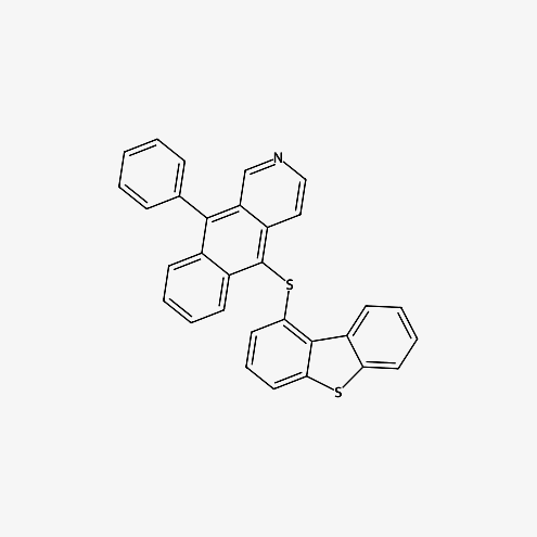 c1ccc(-c2c3ccccc3c(Sc3cccc4sc5ccccc5c34)c3ccncc23)cc1